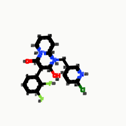 O=c1c(-c2cccc(F)c2F)c(O)n(Cc2ccc(Cl)nc2)c2cccc[n+]12